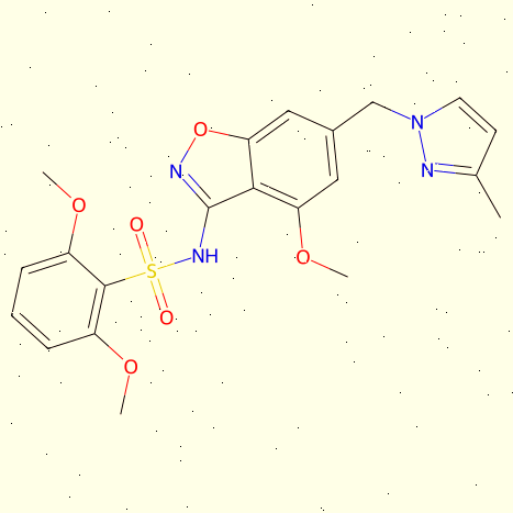 COc1cccc(OC)c1S(=O)(=O)Nc1noc2cc(Cn3ccc(C)n3)cc(OC)c12